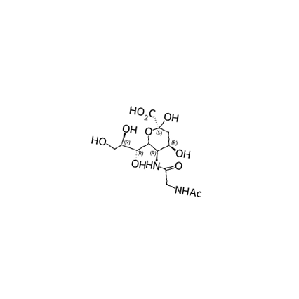 CC(=O)NCC(=O)N[C@H]1C([C@H](O)[C@H](O)CO)O[C@](O)(C(=O)O)C[C@H]1O